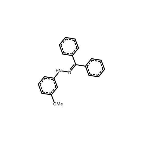 COc1cccc(NN=C(c2ccccc2)c2ccccc2)c1